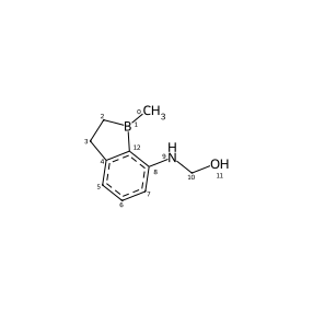 CB1CCc2cccc(NCO)c21